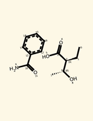 CC[C@H](C(=O)O)[C@@H](C)O.NC(=O)c1ccccc1